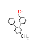 [CH2]c1ccc(-c2ccccc2)c(-c2cccc(C[O])c2)c1